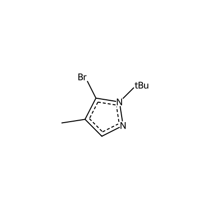 Cc1cnn(C(C)(C)C)c1Br